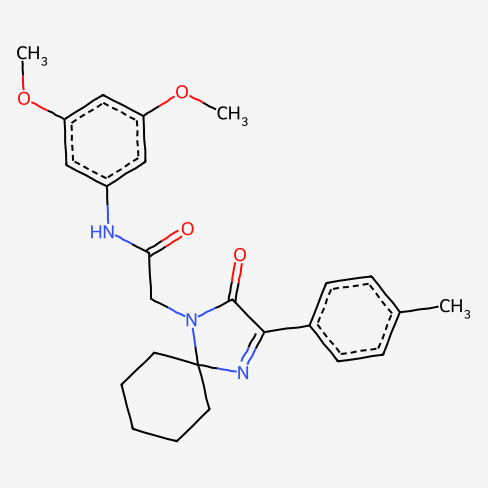 COc1cc(NC(=O)CN2C(=O)C(c3ccc(C)cc3)=NC23CCCCC3)cc(OC)c1